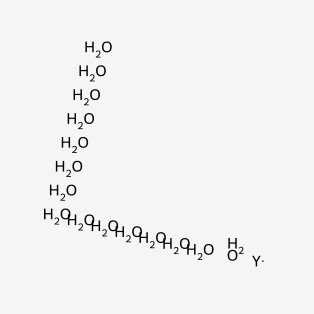 O.O.O.O.O.O.O.O.O.O.O.O.O.O.O.[Y]